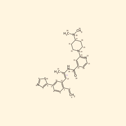 C=Cc1ccc(-c2cncs2)cc1/C=C(\C)NC(=O)c1ccnc(N2CCC(N(C)C)CC2)c1